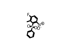 Cc1c(F)ccc([N+](=O)[O-])c1S(=O)(=O)c1ccccc1